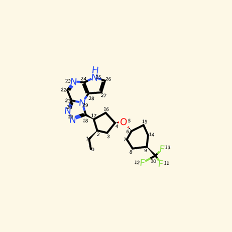 CC[C@@H]1C[C@@H](O[C@H]2CC[C@H](C(F)(F)F)CC2)C[C@@H]1c1nnc2cnc3[nH]ccc3n12